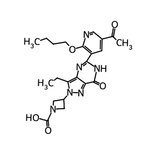 CCCCOc1ncc(C(C)=O)cc1-c1nc2c(CC)n(C3CN(C(=O)O)C3)nc2c(=O)[nH]1